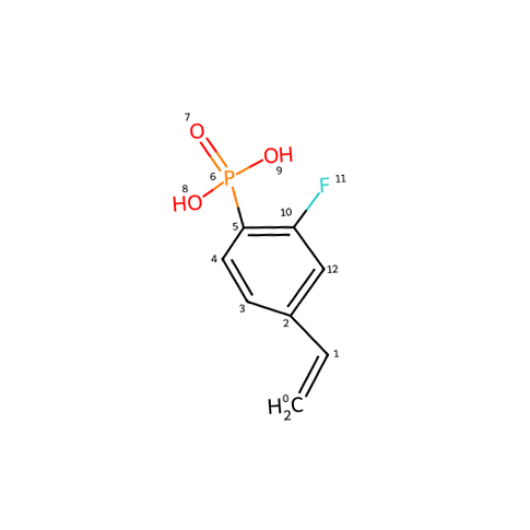 C=Cc1ccc(P(=O)(O)O)c(F)c1